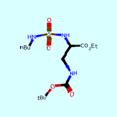 CCCCNS(=O)(=O)NC(CNC(=O)OC(C)(C)C)C(=O)OCC